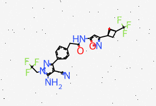 N#Cc1c(-c2ccc(CC(=O)Nc3cc(C45CC(C(F)(F)F)(C4)C5)no3)cc2)nn(CC(F)(F)F)c1N